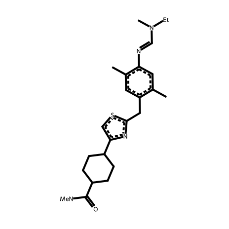 CCN(C)C=Nc1cc(C)c(Cc2nc(C3CCC(C(=O)NC)CC3)cs2)cc1C